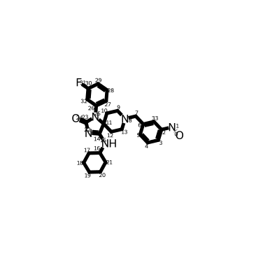 O=Nc1cccc(CN2CCC3(CC2)C(NC2CCCCC2)=NC(=O)N3c2cccc(F)c2)c1